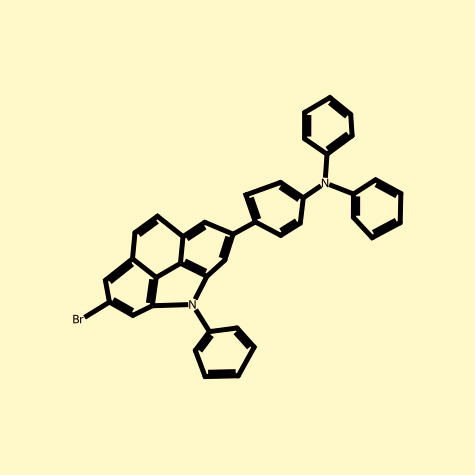 Brc1cc2ccc3cc(-c4ccc(N(c5ccccc5)c5ccccc5)cc4)cc4c3c2c(c1)n4-c1ccccc1